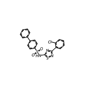 O=S(=O)(Nc1nc(-c2ccccc2Cl)ns1)c1ccc(-c2ccccc2)cc1